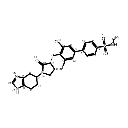 CC(C)NS(=O)(=O)c1ccc(-c2cc(Cl)c(C[C@@H]3CCN(C4CCc5[nH]cnc5C4)C3=O)c(I)c2)cc1